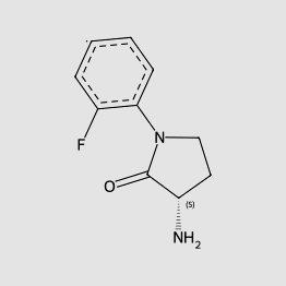 N[C@H]1CCN(c2cc[c]cc2F)C1=O